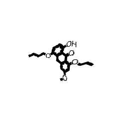 C=CCOc1cc(OC)cc2c1C(=O)c1c(O)ccc(OCCCC)c1C2